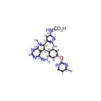 Cc1ccnc(Oc2ccc(-c3c(-c4cc(NC(=O)O)nn4C)n(C)c4ncnc(N)c34)cc2)n1